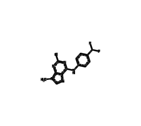 Cn1cnc2c(Nc3ccc(C(F)F)cc3)nc(Cl)nc21